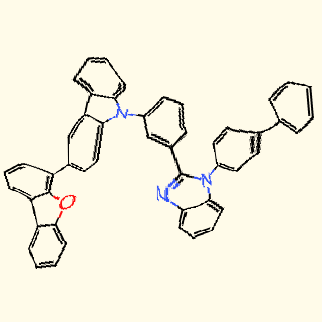 c1ccc(-c2ccc(-n3c(-c4cccc(-n5c6ccccc6c6cc(-c7cccc8c7oc7ccccc78)ccc65)c4)nc4ccccc43)cc2)cc1